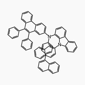 c1ccc(-c2c(-c3ccccc3)c3cc(N(c4ccc(-c5cccc6ccccc56)cc4)c4cccc5c6ccccc6n(-c6ccc7ccccc7c6)c45)ccc3c3ccccc23)cc1